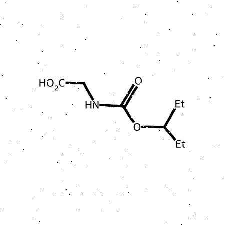 CCC(CC)OC(=O)NCC(=O)O